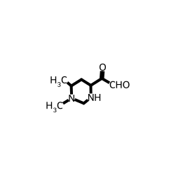 CC1CC(C(=O)C=O)NCN1C